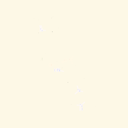 COc1ccc(N2C[C@@H](C)N[C@@H](C)C2)cc1NS(=O)(=O)c1ccc(-c2cccc(C)n2)cc1Cl